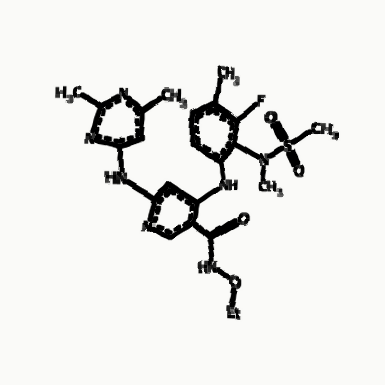 CCONC(=O)c1cnc(Nc2cc(C)nc(C)n2)cc1Nc1ccc(C)c(F)c1N(C)S(C)(=O)=O